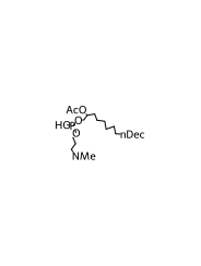 CCCCCCCCCCCCCCCCC(COP(O)OCCCNC)OC(C)=O